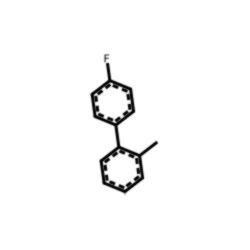 Cc1c[c]ccc1-c1ccc(F)cc1